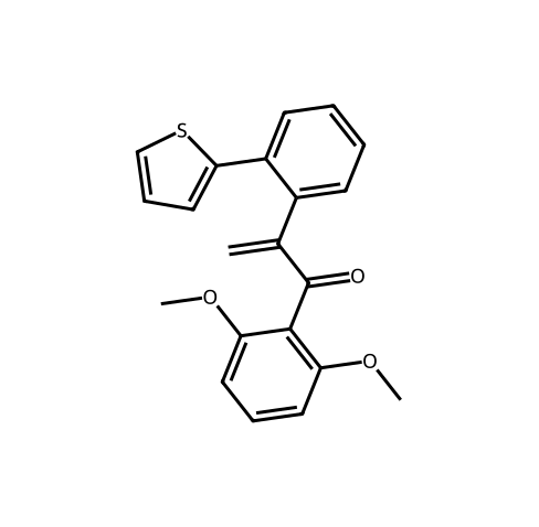 C=C(C(=O)c1c(OC)cccc1OC)c1ccccc1-c1cccs1